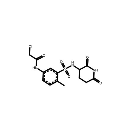 Cc1ccc(NC(=O)CCl)cc1S(=O)(=O)NC1CCC(=O)NC1=O